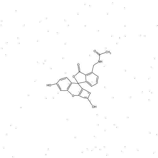 CC(=O)NCc1cccc2c1C(=O)OC21c2ccc(O)cc2Oc2cc(O)ccc21